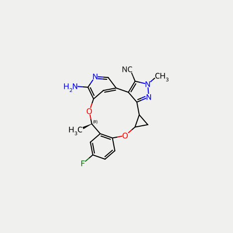 C[C@H]1Oc2cc(cnc2N)-c2c(nn(C)c2C#N)C2CC2Oc2ccc(F)cc21